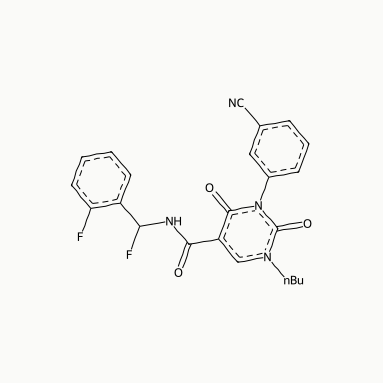 CCCCn1cc(C(=O)NC(F)c2ccccc2F)c(=O)n(-c2cccc(C#N)c2)c1=O